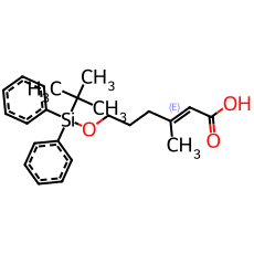 C/C(=C\C(=O)O)CCCO[Si](c1ccccc1)(c1ccccc1)C(C)(C)C